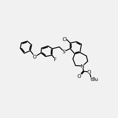 CC(C)(C)OC(=O)N1CCc2ccc(Cl)c(SCc3ccc(Oc4ccccc4)cc3F)c2CC1